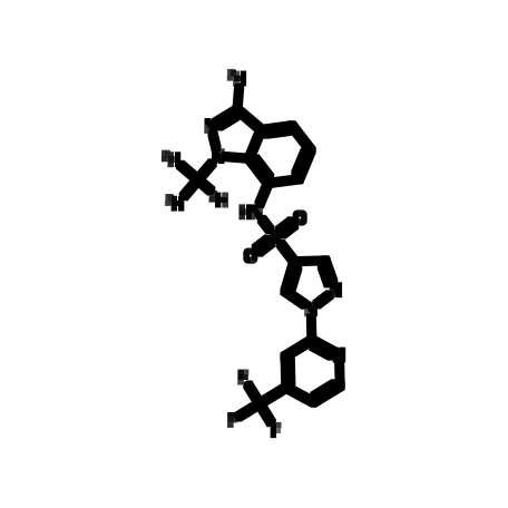 [2H]c1nn(C([2H])([2H])[2H])c2c(NS(=O)(=O)c3cnn(-c4cc(C(F)(F)F)ccn4)c3)cccc12